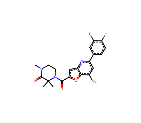 CN1CCN(C(=O)c2cc3nc(-c4ccc(Cl)c(F)c4)cc(C(C)(C)C)c3o2)C(C)(C)C1=O